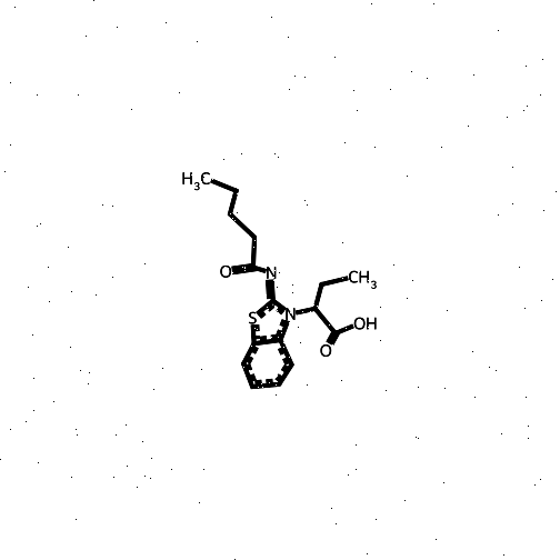 CCCCC(=O)N=c1sc2ccccc2n1C(CC)C(=O)O